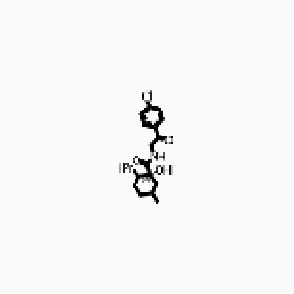 CC1CCC(C(C)C)[C@@](O)(C(=O)NCC(=O)c2ccc(Cl)cc2)C1